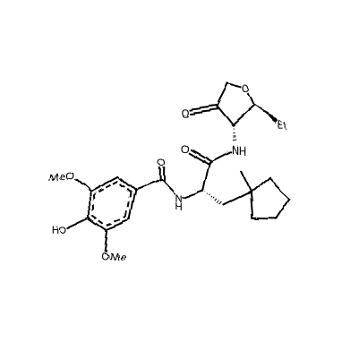 CC[C@@H]1OCC(=O)[C@H]1NC(=O)[C@H](CC1(C)CCCC1)NC(=O)c1cc(OC)c(O)c(OC)c1